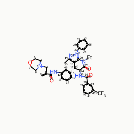 C=C(CN1CCOCC1)C(=O)Nc1cccc([C@@H]2c3c(C)nn(-c4ccccc4)c3N(CC)C(=O)[C@H]2NC(=O)c2cccc(C(F)(F)F)c2)c1